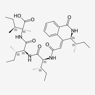 CC[C@H](C)[C@H](NC(=O)C=C1c2ccccc2C(=O)N[C@H]1[C@@H](C)CC)C(=O)N[C@H](C(=O)N[C@](C)(C(=O)O)[C@@H](C)CC)[C@@H](C)CC